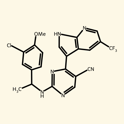 COc1ccc(C(C)Nc2ncc(C#N)c(-c3c[nH]c4ncc(C(F)(F)F)cc34)n2)cc1Cl